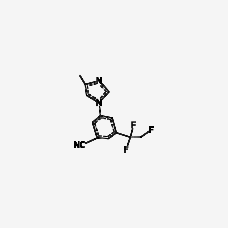 Cc1cn(-c2cc(C#N)cc(C(F)(F)CF)c2)cn1